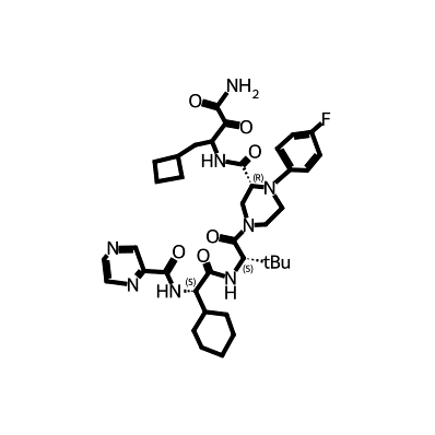 CC(C)(C)[C@H](NC(=O)[C@@H](NC(=O)c1cnccn1)C1CCCCC1)C(=O)N1CCN(c2ccc(F)cc2)[C@@H](C(=O)NC(CC2CCC2)C(=O)C(N)=O)C1